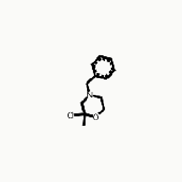 CC1(Cl)CN(Cc2ccccc2)CCO1